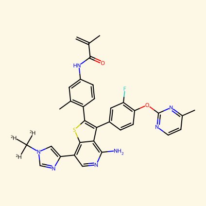 [2H]C([2H])([2H])n1cnc(-c2cnc(N)c3c(-c4ccc(Oc5nccc(C)n5)c(F)c4)c(-c4ccc(NC(=O)C(=C)C)cc4C)sc23)c1